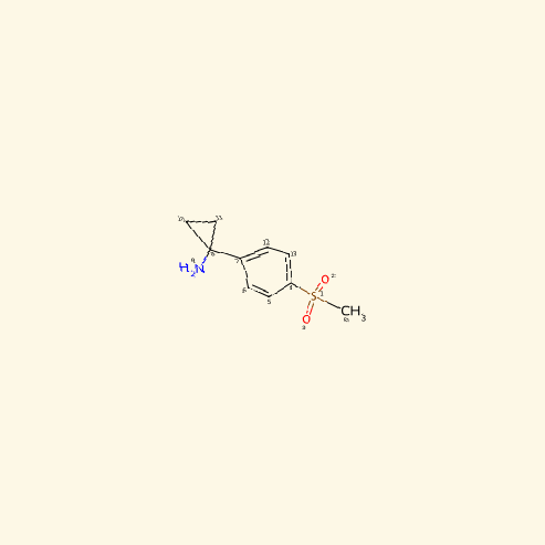 CS(=O)(=O)c1ccc(C2(N)CC2)cc1